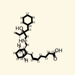 CCC(O)(CNC[C@H]1[C@@H](C/C=C\CCCC(=O)O)[C@H]2CC[C@@H]1O2)CC1CCCCC1